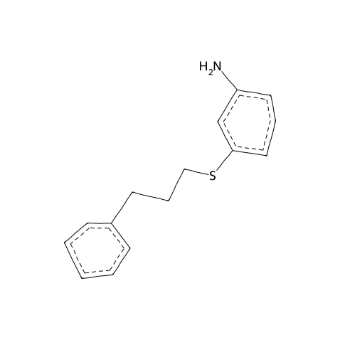 Nc1cccc(SCCCc2ccccc2)c1